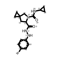 O=C(NNc1ccc(F)cc1)C1CC2(CC2)CN1C(=O)NC1CC1